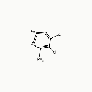 Pc1cccc(Cl)c1Cl.[Ru]